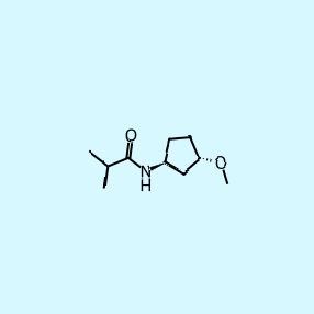 CO[C@H]1CC[C@H](NC(=O)C(C)C)C1